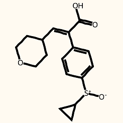 O=C(O)/C(=C/C1CCOCC1)c1ccc([S+]([O-])C2CC2)cc1